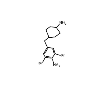 CC(C)c1cc(CC2CCC(N)CC2)cc(C(C)C)c1N